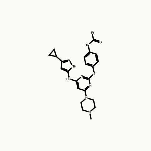 CCC(=O)Nc1ccc(Sc2nc(Nc3cc(C4CC4)n[nH]3)cc(N3CCN(C)CC3)n2)cc1